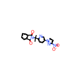 CC(C)(c1ccc(-n2ccc([N+](=O)[O-])n2)cn1)N1C(=O)c2ccccc2C1=O